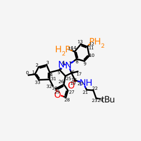 Cc1ccc(C2=NN(c3ccc(P)cc3P)C(C)(C(=O)NCCCC(C)(C)C)C2c2ccoc2)c(C)c1